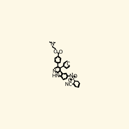 CN(C)CCOC(=O)c1ccc(-c2cnc3[nH]c4ccc(N(C)S(=O)(=O)C5CC=CC=C5C#N)cc4c3c2-c2ccccc2)cc1